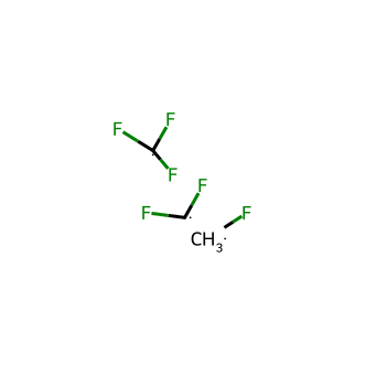 CF.F[CH]F.F[C](F)F.[CH3]